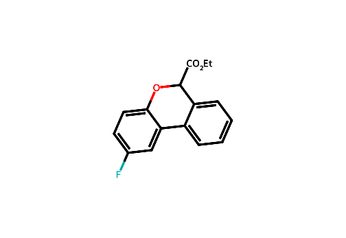 CCOC(=O)C1Oc2ccc(F)cc2-c2ccccc21